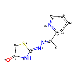 C/C(=N\N=C1\NC(=O)CS1)c1ccccn1